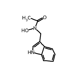 CC(=O)N(O)Cc1c[nH]c2ccccc12